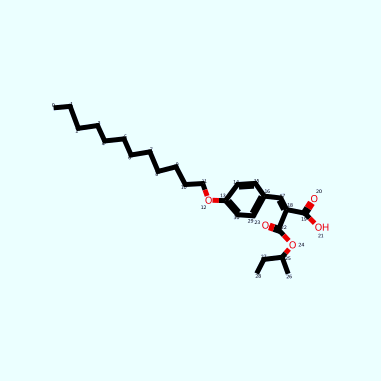 CCCCCCCCCCCCOc1ccc(C=C(C(=O)O)C(=O)OC(C)CC)cc1